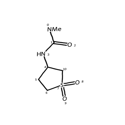 CNC(=O)NC1CCS(=O)(=O)C1